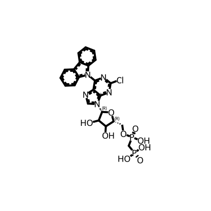 O=P(O)(O)CP(=O)(O)OC[C@H]1O[C@@H](n2cnc3c(-n4c5ccccc5c5ccccc54)nc(Cl)nc32)C(O)C1O